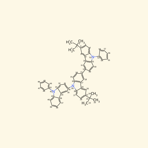 CC(C)(C)c1ccc2c(c1)c1cc(-c3ccc4c(c3)c3cc(C(C)(C)C)ccc3n4-c3ccc4c(c3)c3ccccc3n4-c3ccccc3)ccc1n2-c1ccccc1